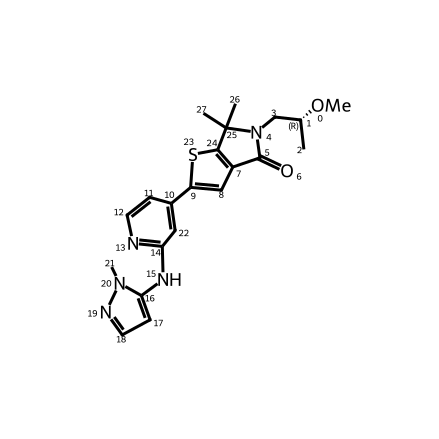 CO[C@H](C)CN1C(=O)c2cc(-c3ccnc(Nc4ccnn4C)c3)sc2C1(C)C